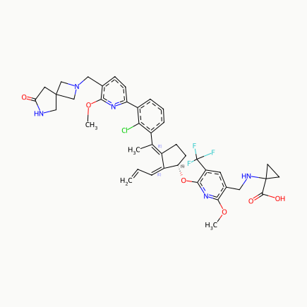 C=C/C=C1\C(=C(/C)c2cccc(-c3ccc(CN4CC5(CNC(=O)C5)C4)c(OC)n3)c2Cl)CC[C@@H]1Oc1nc(OC)c(CNC2(C(=O)O)CC2)cc1C(F)(F)F